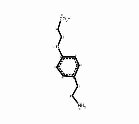 NCCc1ccc(OCCC(=O)O)cc1